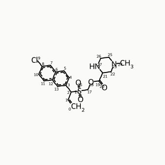 C=CC(c1ccc2cc(Cl)ccc2c1)S(=O)(=O)COC(=O)C1CN(C)CCN1